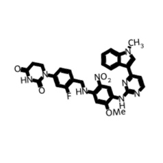 COc1cc(NCc2ccc(N3CCC(=O)NC3=O)cc2F)c([N+](=O)[O-])cc1Nc1nccc(-c2cn(C)c3ccccc23)n1